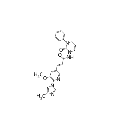 COc1cc(C=CC(=O)NN2C=CCN(c3ccccc3)C2=O)cnc1-n1cnc(C)c1